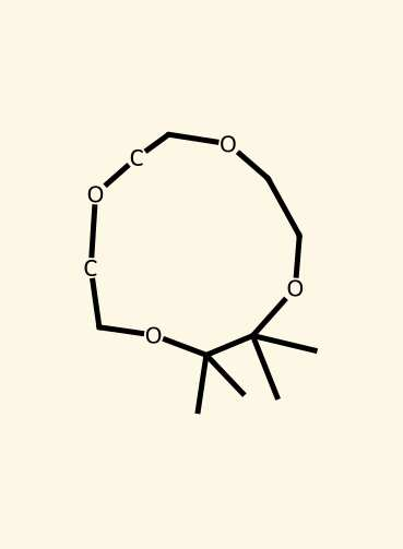 CC1(C)OCCOCCOCCOC1(C)C